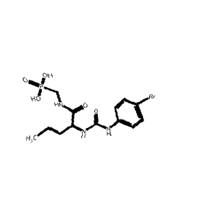 CCCC(NC(=O)Nc1ccc(Br)cc1)C(=O)NCP(=O)(O)O